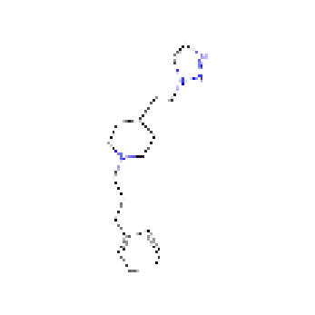 c1ccc(CCCN2CCC(CCn3ccnn3)CC2)cc1